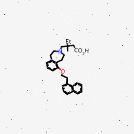 CCC(C)(CC(=O)O)CN1CCc2cccc(OCCc3cccc4ccccc34)c2CC1